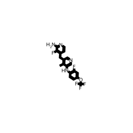 Cc1c(Cc2ccnc(N)c2F)cncc1Nc1ccc(OC(F)(F)F)cc1F